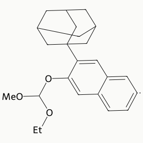 CCOC(OC)Oc1cc2cc[c]cc2cc1C12CC3CC(CC(C3)C1)C2